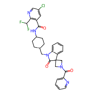 O=C(NC1CCC(CN2C(=O)C3(CN(C(=O)c4ccccn4)C3)c3ccccc32)CC1)c1cc(Cl)cnc1C(F)F